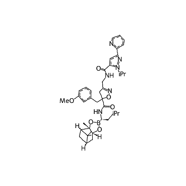 COc1cccc(CC2(C(=O)N[C@@H](CC(C)C)B3O[C@@H]4C[C@@H]5C[C@@H](C5(C)C)[C@]4(C)O3)CC(CNC(=O)c3cc(-c4ccccn4)nn3C(C)C)=NO2)c1